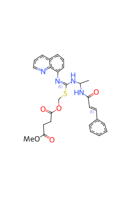 COC(=O)CCC(=O)OCS/C(=N/c1cccc2cccnc12)NC(C)NC(=O)/C=C/c1ccccc1